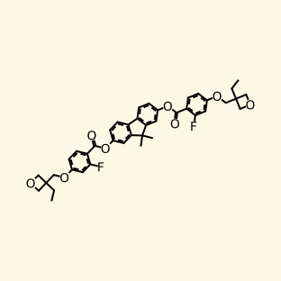 CCC1(COc2ccc(C(=O)Oc3ccc4c(c3)C(C)(C)c3cc(OC(=O)c5ccc(OCC6(CC)COC6)cc5F)ccc3-4)c(F)c2)COC1